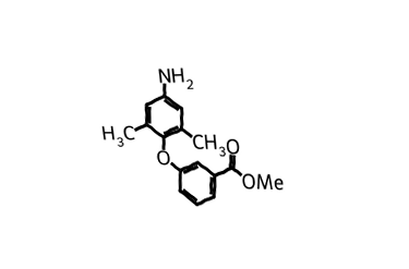 COC(=O)c1cccc(Oc2c(C)cc(N)cc2C)c1